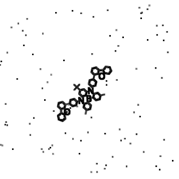 Cc1ccc2c(c1)N(c1ccc(-c3cccc4c3oc3ccccc34)cc1)c1cc(C(C)(C)C)cc3c1B2c1ccc(C)cc1N3c1ccc(-c2cccc3c2oc2ccccc23)cc1